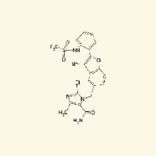 CCc1nc(C)c(C(N)=O)n1Cc1ccc2oc(-c3ccccc3NS(=O)(=O)C(F)(F)F)c(Br)c2c1